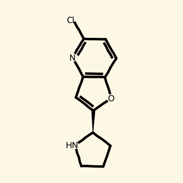 Clc1ccc2oc([C@H]3CCCN3)cc2n1